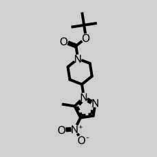 Cc1c([N+](=O)[O-])cnn1C1CCN(C(=O)OC(C)(C)C)CC1